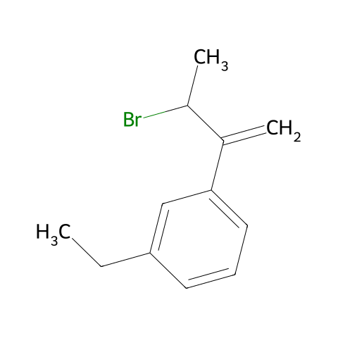 C=C(c1cccc(CC)c1)C(C)Br